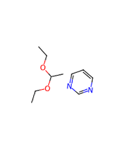 CCOC(C)OCC.c1cncnc1